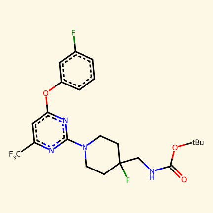 CC(C)(C)OC(=O)NCC1(F)CCN(c2nc(Oc3cccc(F)c3)cc(C(F)(F)F)n2)CC1